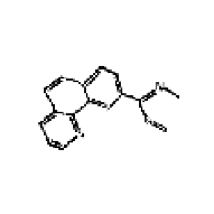 C=N/C(=N\C)c1ccc2ccc3cccnc3c2n1